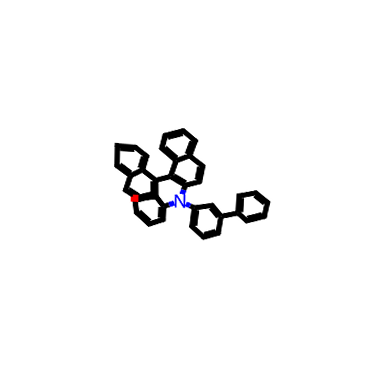 c1ccc(-c2cccc(N(c3ccccc3)c3ccc4ccccc4c3-c3cccc4ccccc34)c2)cc1